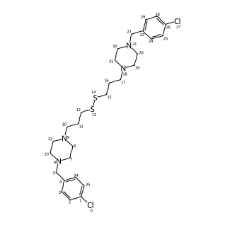 Clc1ccc(CN2CCN(CCCSSCCCN3CCN(Cc4ccc(Cl)cc4)CC3)CC2)cc1